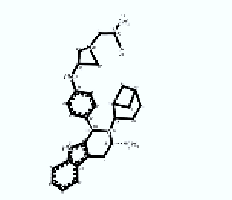 C[C@@H]1Cc2c([nH]c3ccccc23)[C@@H](c2ccc(NC3CN(C[C@@H](C)F)C3)cc2)N1C1CCC2CC1C2